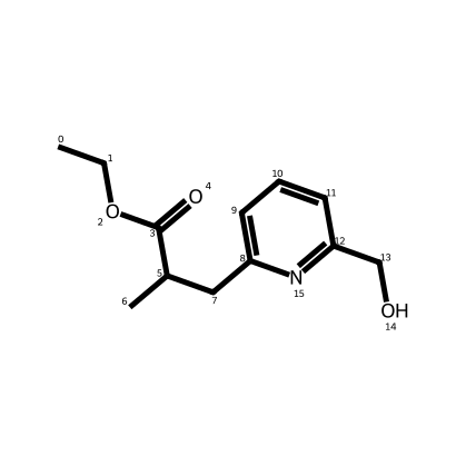 CCOC(=O)C(C)Cc1cccc(CO)n1